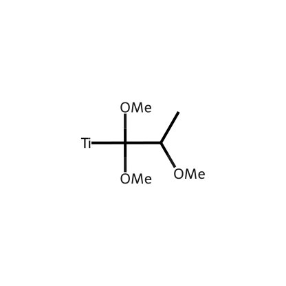 COC(C)[C]([Ti])(OC)OC